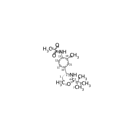 CC[C@@H](N[S@+]([O-])C(C)(C)C)c1ccc(NS(C)(=O)=O)c(C)c1